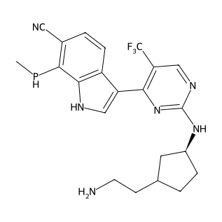 CPc1c(C#N)ccc2c(-c3nc(N[C@H]4CCC(CCN)C4)ncc3C(F)(F)F)c[nH]c12